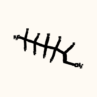 [CH2]/C=C(\F)C(F)(F)C(F)(F)C(F)(F)C(F)(F)C(F)(F)F